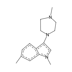 Cc1ccc2c(N3CCN(C)CC3)cn(C)c2c1